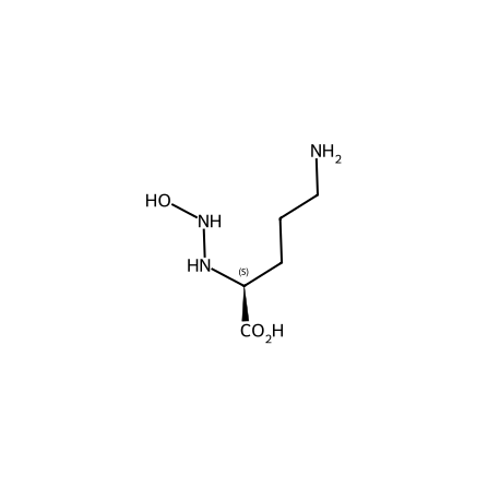 NCCC[C@H](NNO)C(=O)O